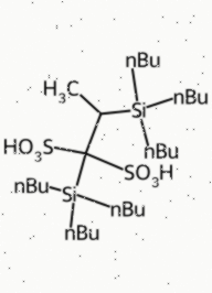 CCCC[Si](CCCC)(CCCC)C(C)C([Si](CCCC)(CCCC)CCCC)(S(=O)(=O)O)S(=O)(=O)O